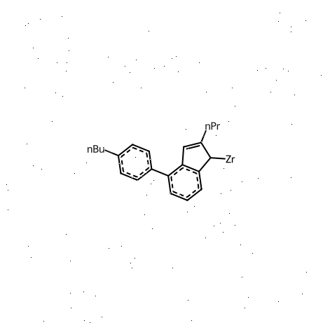 CCCCc1ccc(-c2cccc3c2C=C(CCC)[CH]3[Zr])cc1